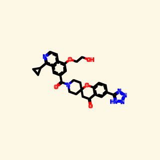 O=C1CC2(CCN(C(=O)c3cc(OCCO)c4ccnc(C5CC5)c4c3)CC2)Oc2ccc(-c3nnn[nH]3)cc21